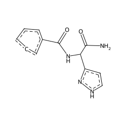 NC(=O)C(NC(=O)c1ccccc1)c1cc[nH]n1